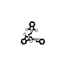 O=C1c2ccccc2C(=O)N1CC[N+]1(CCNCc2ccccc2)C(=O)c2ccccc2C1=O